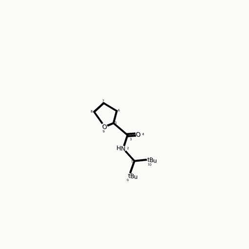 CC(C)(C)C(NC(=O)C1CCCO1)C(C)(C)C